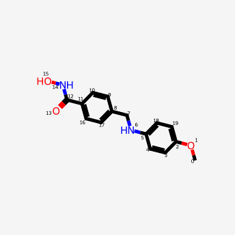 COc1ccc(NCc2ccc(C(=O)NO)cc2)cc1